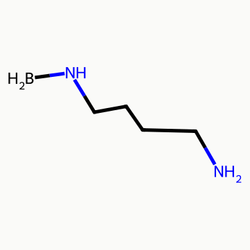 BNCCCCN